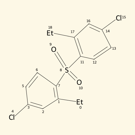 CCc1cc(Cl)ccc1S(=O)(=O)c1ccc(Cl)cc1CC